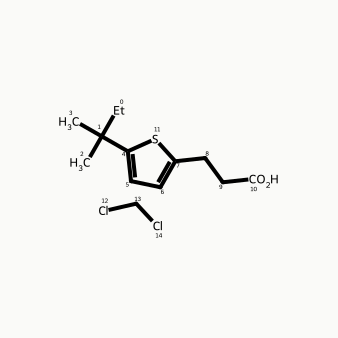 CCC(C)(C)c1ccc(CCC(=O)O)s1.ClCCl